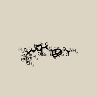 CC(C)COc1c(C(=O)N[C@H]2C3CC4CC2C[C@](OC(N)=O)(C4)C3)cnn1/C=C/C(C)(C)NS(C)(=O)=O